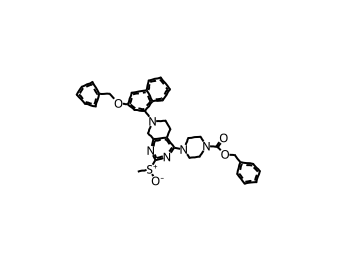 C[S+]([O-])c1nc2c(c(N3CCN(C(=O)OCc4ccccc4)CC3)n1)CCN(c1cc(OCc3ccccc3)cc3ccccc13)C2